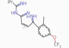 Cc1cc(OC(F)(F)F)ccc1C(=N)/C=C\C(=N)NC(=N)C(C)C